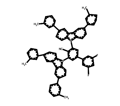 Cc1cccc(-c2ccc3c(c2)c2cc(-c4cccc(C)c4)ccc2n3-c2cc(-c3cc(F)cc(F)c3)cc(-n3c4ccc(-c5cccc(C)c5)cc4c4cc(-c5cccc(C)c5)ccc43)c2C#N)c1